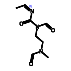 C/C=N\C(=O)N(C=O)CCN(C)C=O